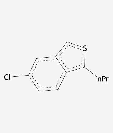 [CH2]CCc1scc2cc(Cl)ccc12